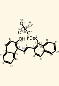 CCCCCCCCCC[n+]1c(/C=C/c2c(O)ccc3ccccc23)ccc2ccccc21.[O-][Cl+3]([O-])([O-])[O-]